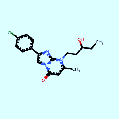 CCC(O)CCn1c(C)cc(=O)n2cc(-c3ccc(Cl)cc3)nc12